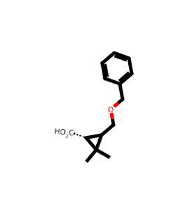 CC1(C)C(COCc2ccccc2)[C@H]1C(=O)O